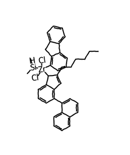 CCCCCCC1=Cc2c(-c3cccc4ccccc34)cccc2[CH]1[Zr]([Cl])([Cl])([c]1cccc2c1Cc1ccccc1-2)[SiH](C)C